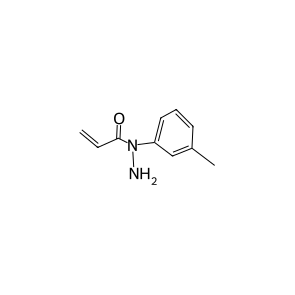 C=CC(=O)N(N)c1cccc(C)c1